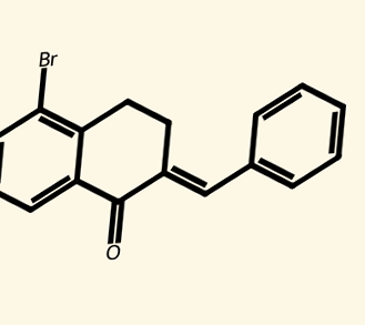 O=C1/C(=C/c2ccccc2)CCc2c(Br)cccc21